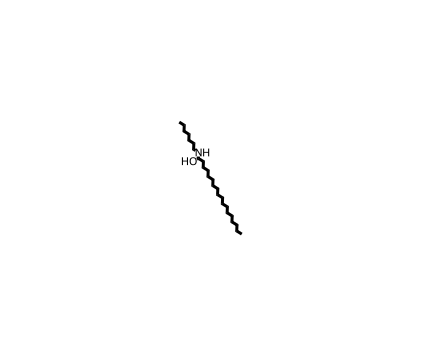 CCCCCCCCCCCCCCCCCC(O)NCCCCCCC